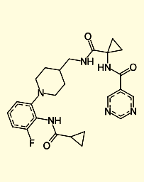 O=C(NC1(C(=O)NCC2CCN(c3cccc(F)c3NC(=O)C3CC3)CC2)CC1)c1cncnc1